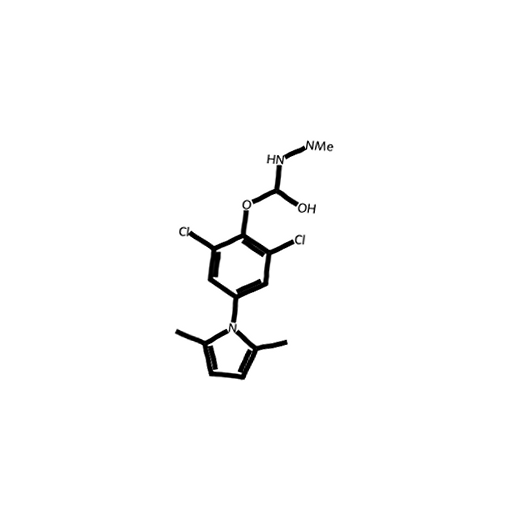 CNNC(O)Oc1c(Cl)cc(-n2c(C)ccc2C)cc1Cl